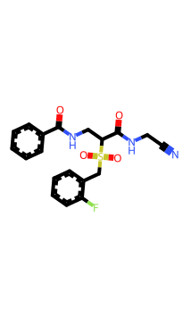 N#CCNC(=O)C(CNC(=O)c1ccccc1)S(=O)(=O)Cc1ccccc1F